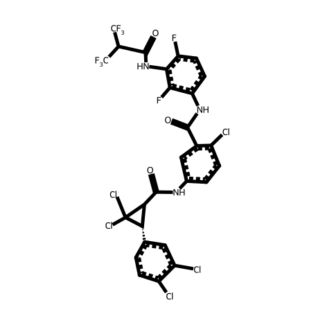 O=C(Nc1ccc(F)c(NC(=O)C(C(F)(F)F)C(F)(F)F)c1F)c1cc(NC(=O)C2[C@H](c3ccc(Cl)c(Cl)c3)C2(Cl)Cl)ccc1Cl